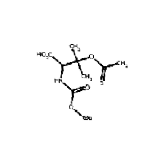 CC(=S)OC(C)(C)C(NC(=O)OC(C)(C)C)C(=O)O